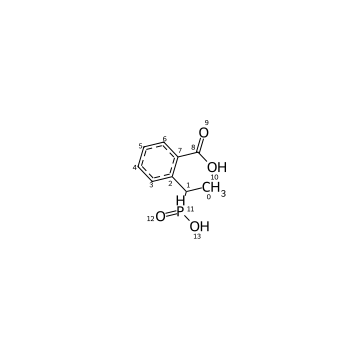 CC(c1ccccc1C(=O)O)[PH](=O)O